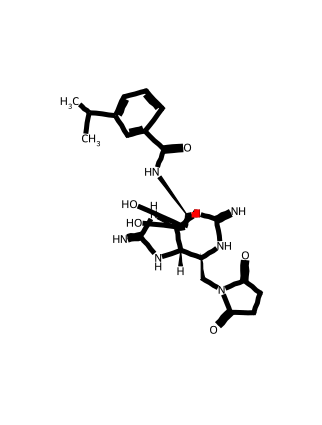 CC(C)c1cccc(C(=O)N[C@H]2CN3C(=N)N[C@@H](CN4C(=O)CCC4=O)[C@@H]4NC(=N)N[C@@]43C2(O)O)c1